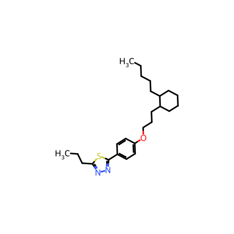 CCCCCC1CCCCC1CCCOc1ccc(-c2nnc(CCC)s2)cc1